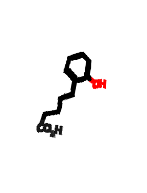 O=C(O)CCCCc1ccccc1O